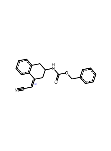 N#C/C=C1/CC(NC(=O)OCc2ccccc2)Cc2ccccc21